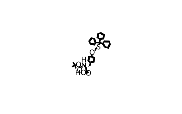 CC(C)(C)OC(=O)N[C@H](Cc1ccc(OCCSC(c2ccccc2)(c2ccccc2)c2ccccc2)cc1)C(=O)O